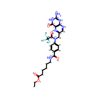 CCOC(=O)CCCCCNC(=O)c1ccc(N(Cc2cnc3nc(N)[nH]c(=O)c3n2)C(=O)C(F)(F)F)cc1